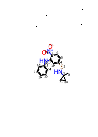 CC1(NSc2ccc([N+](=O)[O-])c(Nc3ccccc3)c2)CC1